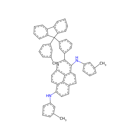 Cc1cccc(Nc2ccc3ccc4c(Nc5cccc(C)c5)c(-c5cccc(C6(c7cccc(C)c7)c7ccccc7-c7ccccc76)c5)cc5ccc2c3c54)c1